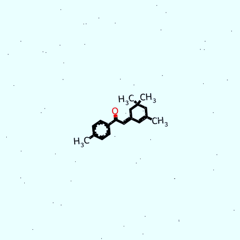 CC1=C/C(=C/C(=O)c2ccc(C)cc2)CC(C)(C)C1